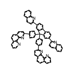 c1ccc2nc(-c3ccc4c(c3)C(c3ccc(-c5ccc6ccc7cccnc7c6n5)cc3)(c3ccc(-c5ccc6ccc7cccnc7c6n5)cc3)c3cc(-c5ccc6ccccc6n5)ccc3-4)ccc2c1